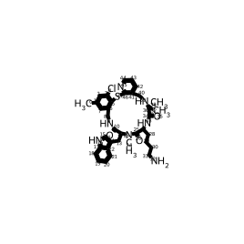 Cc1cc(Cl)c2c(c1)CNC(=O)C(Cc1c[nH]c3ccccc13)N(C)C(=O)C(CCCCN)NC(=O)C(C)(C)NCc1cccnc1S2